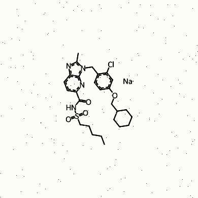 CCCCCS(=O)(=O)NC(=O)c1ccc2nc(C)n(Cc3ccc(OCC4CCCCC4)cc3Cl)c2n1.[Na]